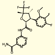 COc1c([C@H]2[C@@H](C(=O)Nc3cc(C(N)=O)ncn3)O[C@](C)(C(F)(F)F)[C@@H]2C)ccc(F)c1F